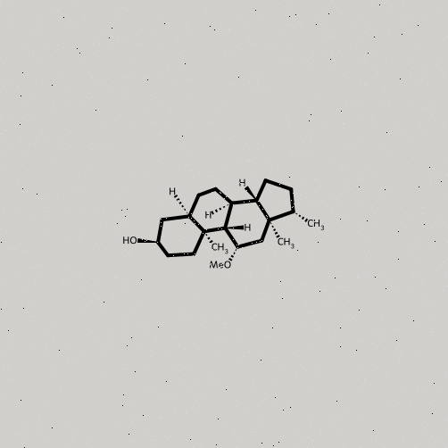 CO[C@H]1C[C@]2(C)[C@@H](C)CC[C@H]2[C@@H]2CC[C@@H]3C[C@H](O)CC[C@]3(C)[C@H]21